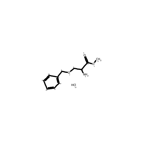 COC(=O)C(N)COCc1ccccc1.Cl